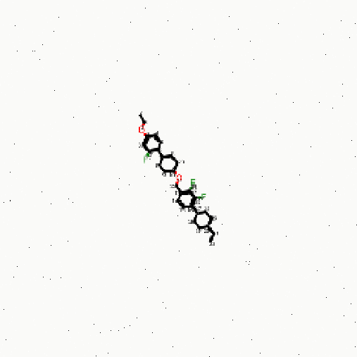 CCOc1ccc(C2CCC(OCc3ccc(C4CCC(CC)CC4)c(F)c3F)CC2)c(F)c1